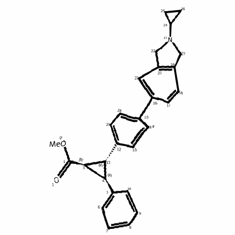 COC(=O)[C@@H]1[C@H](c2ccccc2)[C@H]1c1ccc(-c2ccc3c(c2)CN(C2CC2)C3)cc1